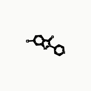 O=c1c2ccc(Cl)cc2[se]n1-c1ccncc1